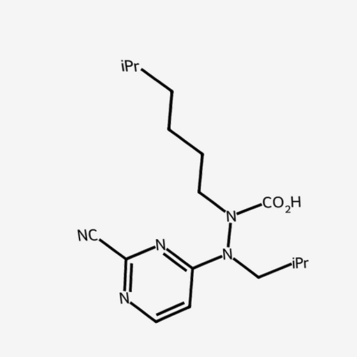 CC(C)CCCCN(C(=O)O)N(CC(C)C)c1ccnc(C#N)n1